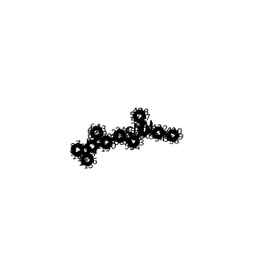 C1=C2C(CC3=C1c1ccccc1C31CCCCC1)c1ccc(-c3ccc4sc5c(-c6cc(-c7ccc(-c8ccccc8)cc7)nc(-c7ccccc7)n6)cccc5c4c3)cc1C21CCCCC1